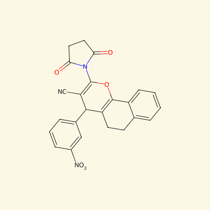 N#CC1=C(N2C(=O)CCC2=O)OC2=C(CCc3ccccc32)C1c1cccc([N+](=O)[O-])c1